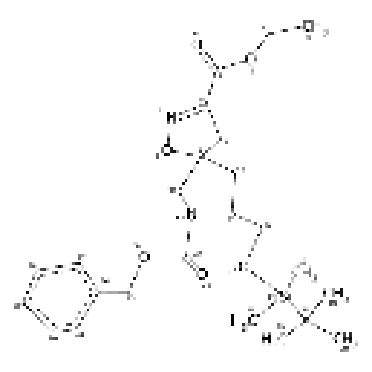 CCOC(=O)C1=NOC2(C1)CC(CO[Si](C)(C)C(C)(C)C)N(C(=O)OCc1ccccc1)C2